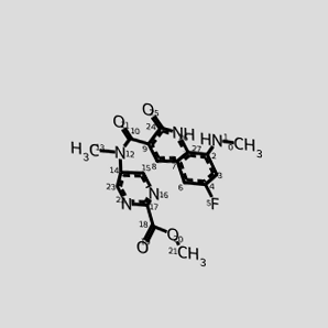 CNc1cc(F)cc2cc(C(=O)N(C)c3cnc(C(=O)OC)nc3)c(=O)[nH]c12